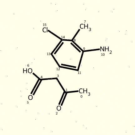 CC(=O)CC(=O)O.Cc1c(N)cccc1Cl